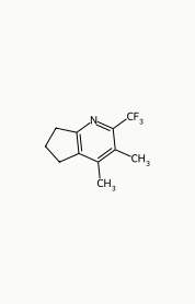 Cc1c(C(F)(F)F)nc2c(c1C)CCC2